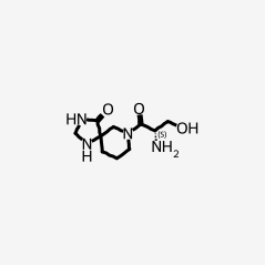 N[C@@H](CO)C(=O)N1CCCC2(C1)NCNC2=O